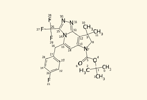 CC(C)(C)OC(=O)N1CC(C)(C)c2c1cc(Cc1ccc(F)cc1)n1c(C(F)(F)F)nnc21